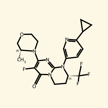 C[C@@H]1COCCN1c1nc2n(c(=O)c1F)CC[C@@H](C(F)(F)F)N2c1ccc(C2CC2)nc1